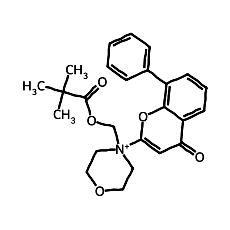 CC(C)(C)C(=O)OC[N+]1(c2cc(=O)c3cccc(-c4ccccc4)c3o2)CCOCC1